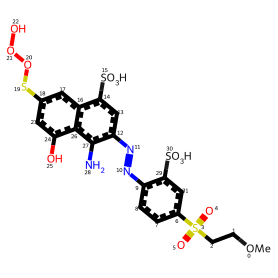 COCCS(=O)(=O)c1ccc(N=Nc2cc(S(=O)(=O)O)c3cc(SOOO)cc(O)c3c2N)c(S(=O)(=O)O)c1